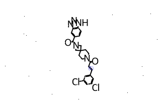 O=C(/C=C/c1cc(Cl)cc(Cl)c1)N1CCC2(CC1)CN(C(=O)c1ccc3[nH]nnc3c1)C2